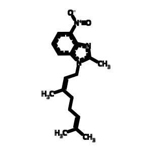 CC(C)=CCCC(C)=CCn1c(C)nc2c([N+](=O)[O-])cccc21